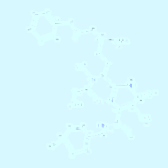 CCN(C(=O)OC(C)(C)C)C(CC[C@@H](COCc1ccccc1)OC)c1nc(C(=O)NCc2ccc(F)cc2)c(O)c(=O)[nH]1